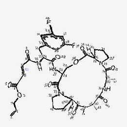 C=CCOC(=O)/C=C/C(=O)N[C@@H](Cc1cc(F)cc(F)c1)C(=O)N[C@H]1COC(=O)[C@@H]2CCCN2C(=O)[C@H](C)NC(=O)[C@H](C)N(C)C(=O)[C@@H]2CCCN2C1=O